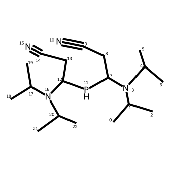 CC(C)N(C(C)C)C(CC#N)PC(CC#N)N(C(C)C)C(C)C